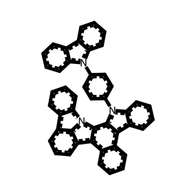 c1ccc2c(c1)c1c3ccccc3n(-c3ccc(-n4c5ccccc5c5ccccc54)cc3)c1c1c2c2cccc3c4ccccc4n1c32